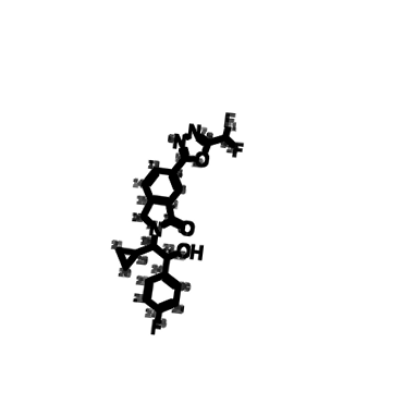 O=C1c2cc(-c3nnc(C(F)F)o3)ccc2CN1C(C1CC1)C(O)c1ccc(F)cc1